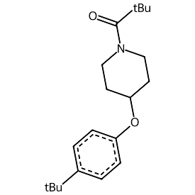 CC(C)(C)C(=O)N1CCC(Oc2ccc(C(C)(C)C)cc2)CC1